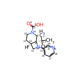 CC(C)(C)[C@@]12CN(C(=O)O)CC[C@@H]1CN2c1cccnc1